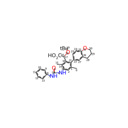 Cc1cc(NC(=O)Nc2ccccc2)c(C)c(C(OC(C)(C)C)C(=O)O)c1-c1ccc2c(c1)CCCO2